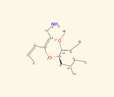 C/C=C\C(=C/CN)O[C@H](CC(C)CC)C(CC)OC